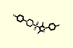 Cc1nn(-c2ccc(F)cc2)c(C)c1S(=O)(=O)N1CCN(c2ccc(F)cc2)CC1